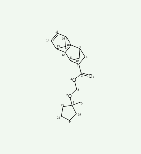 CC1(OCOC(=O)C2CC3CC2C2C4C=CC(C4)C32)CCCC1